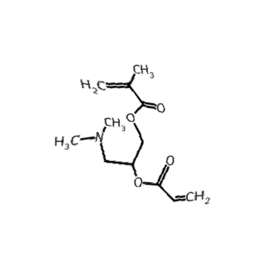 C=CC(=O)OC(COC(=O)C(=C)C)CN(C)C